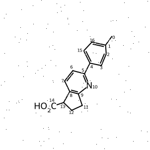 Cc1ccc(-c2ccc3c(n2)CCC3C(=O)O)cc1